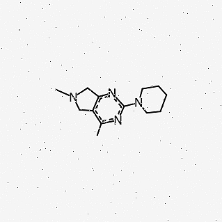 Cc1nc(N2CCCCC2)nc2c1CN(C)C2